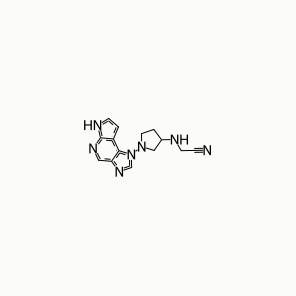 N#CCNC1CCN(n2cnc3cnc4[nH]ccc4c32)C1